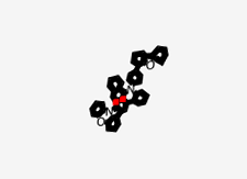 c1ccc2c(c1)Oc1cccc3c4cc(-c5ccccc5N(c5ccc(-c6cccc7c6oc6ccccc67)cc5)c5cccc6ccccc56)ccc4n-2c13